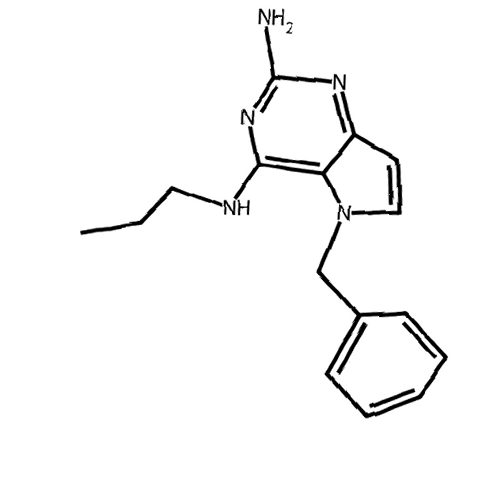 CCCNc1nc(N)nc2ccn(Cc3ccccc3)c12